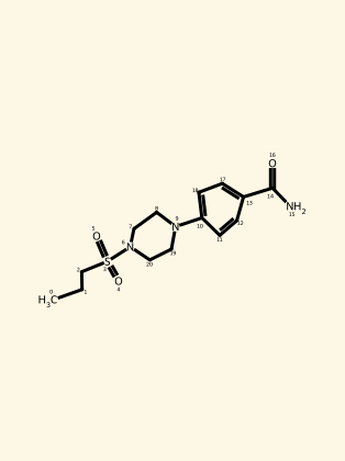 CCCS(=O)(=O)N1CCN(c2ccc(C(N)=O)cc2)CC1